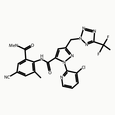 CNC(=O)c1cc(C#N)cc(C)c1NC(=O)c1cc(Cn2nnc(C(C)(F)F)n2)nn1-c1ncccc1Cl